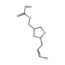 CC/C=C\CC1OCC(COC(=O)CCCCCCCCC)O1